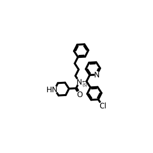 O=C(C1CCNCC1)N(CCCc1ccccc1)[C@@H](c1ccc(Cl)cc1)c1ccccn1